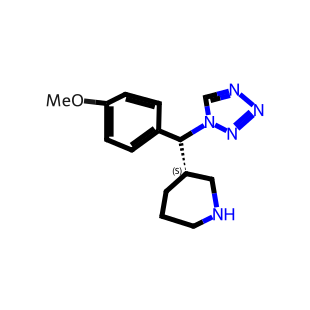 COc1ccc(C([C@H]2CCCNC2)n2cnnn2)cc1